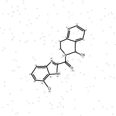 N#CC1c2cccnc2CCN1C(=O)c1nc2cccc(Cl)c2[nH]1